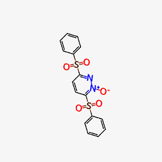 O=S(=O)(c1ccccc1)c1ccc(S(=O)(=O)c2ccccc2)[n+]([O-])n1